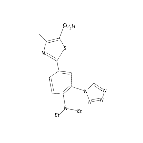 CCN(CC)c1ccc(-c2nc(C)c(C(=O)O)s2)cc1-n1cnnn1